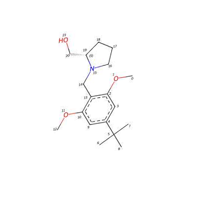 COc1cc(C(C)(C)C)cc(OC)c1CN1CCC[C@H]1CO